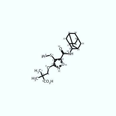 CC(C)Sc1c(OCC(C)(C)C(=O)O)noc1C(=O)NC1C2CC3CC(C2)CC1C3